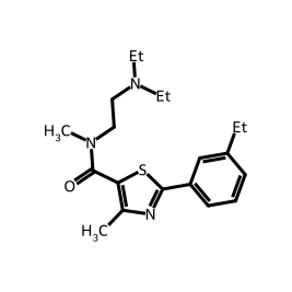 CCc1cccc(-c2nc(C)c(C(=O)N(C)CCN(CC)CC)s2)c1